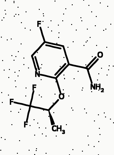 C[C@H](Oc1ncc(F)cc1C(N)=O)C(F)(F)F